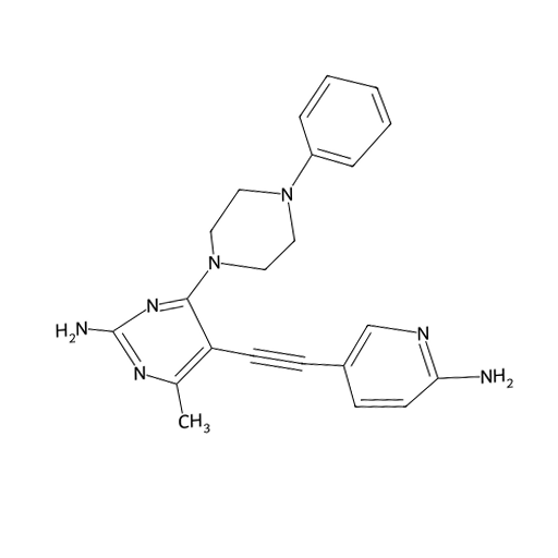 Cc1nc(N)nc(N2CCN(c3ccccc3)CC2)c1C#Cc1ccc(N)nc1